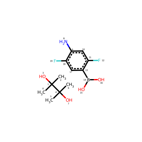 CC(C)(O)C(C)(C)O.Nc1cc(F)c(B(O)O)cc1F